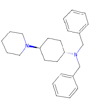 c1ccc(CN(Cc2ccccc2)[C@H]2CC[C@H](N3CCCCC3)CC2)cc1